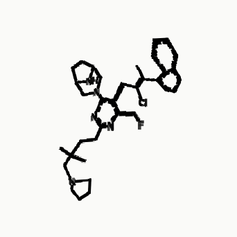 C\C(=C(Cl)/C=c1/c(N2CC3CCC(C2)N3)nc(CCC(C)(C)CN2CCCC2)n/c1=C\F)c1cccc2ccccc12